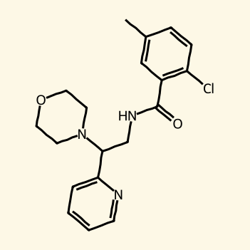 Cc1ccc(Cl)c(C(=O)NCC(c2ccccn2)N2CCOCC2)c1